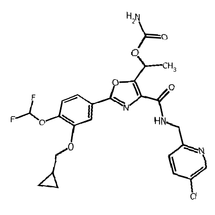 CC(OC(N)=O)c1oc(-c2ccc(OC(F)F)c(OCC3CC3)c2)nc1C(=O)NCc1ccc(Cl)cn1